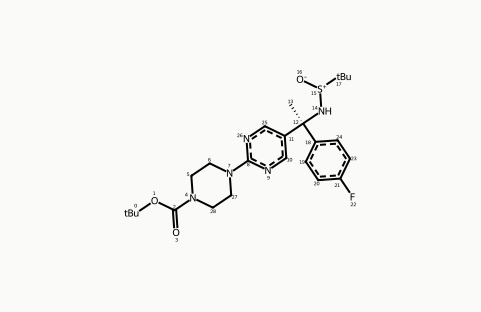 CC(C)(C)OC(=O)N1CCN(c2ncc([C@@](C)(N[S+]([O-])C(C)(C)C)c3ccc(F)cc3)cn2)CC1